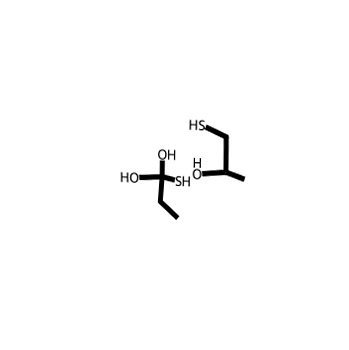 CC(O)CS.CCC(O)(O)S